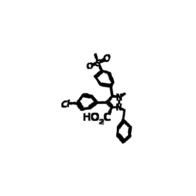 CN1C(c2ccc(S(C)(=O)=O)cc2)C(c2ccc(Cl)cc2)=C(C(=O)O)N1Cc1ccccc1